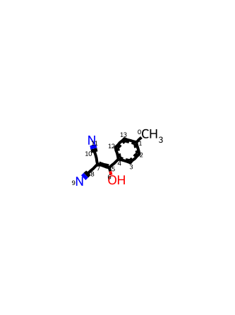 Cc1ccc(C(O)=C(C#N)C#N)cc1